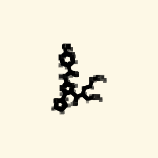 CCC(CCOC)C(=O)c1sc(NC(=O)c2cnc(C)nc2)nc1-c1ccco1